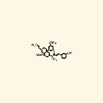 C=CCN1CCC2(c3cccc(OC)c3)CC(N(C)C(=O)/C=C/c3cccc(O)c3)CCC2(OC)C1